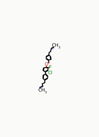 C/C=C/CCc1ccc(COc2ccc(-c3ccc(CC/C=C/C)cc3)c(Cl)c2F)cc1